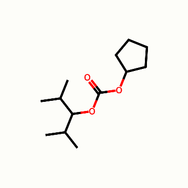 CC(C)C(OC(=O)OC1CCCC1)C(C)C